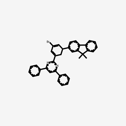 CC1(C)c2ccccc2-c2ccc(C3C=C(Br)C=C(c4nc(-c5ccccc5)cc(-c5ccccc5)n4)C3)cc21